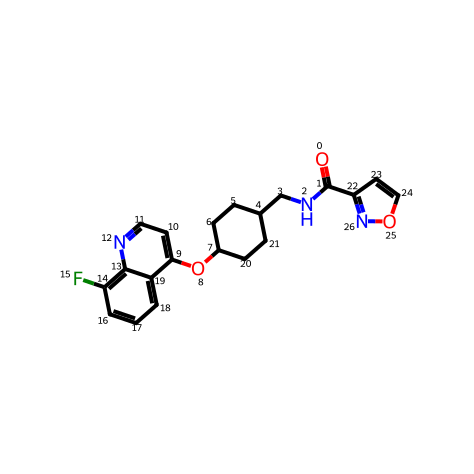 O=C(NCC1CCC(Oc2ccnc3c(F)cccc23)CC1)c1ccon1